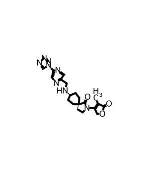 CC1=C(N2CC[C@]3(CC[C@@H](NCc4cnc(-n5cnnn5)cn4)CC3)C2=O)COC1=O